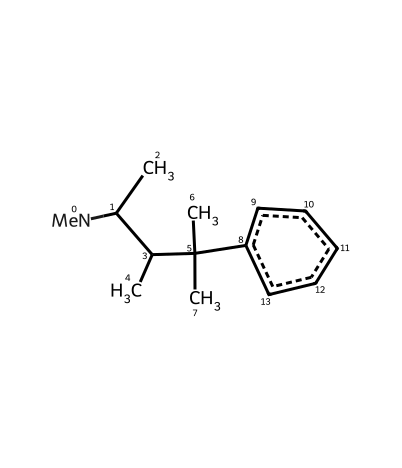 CNC(C)C(C)C(C)(C)c1ccccc1